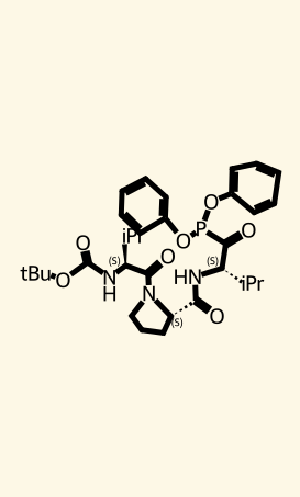 CC(C)[C@H](NC(=O)OC(C)(C)C)C(=O)N1CCC[C@H]1C(=O)N[C@H](C(=O)P(Oc1ccccc1)Oc1ccccc1)C(C)C